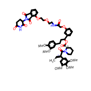 C/C=C(/C(=O)N1CCCC[C@H]1C(=O)OC(CCc1ccc(OC)c(OC)c1)c1cccc(OCC(=O)NCCOCCOc2cccc3c2C(=O)N(C2CCC(=O)NC2=O)C3=O)c1)c1cc(OC)c(OC)c(OC)c1